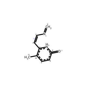 C=N/C=C\c1[nH]c(=O)ccc1C